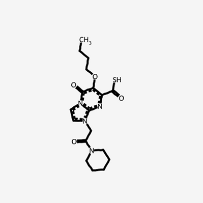 CCCCOc1c(C(=O)S)nc2n(CC(=O)N3CCCCC3)ccn2c1=O